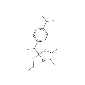 CCO[Si](OCC)(OCC)C(C)c1ccc(C(C)I)cc1